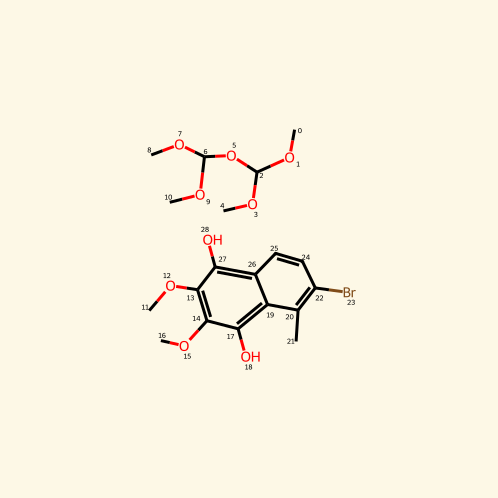 COC(OC)OC(OC)OC.COc1c(OC)c(O)c2c(C)c(Br)ccc2c1O